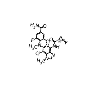 CN(c1nc(NC(=O)[C@H]2C[C@H]2F)c2ncn(C)c2c1Cl)c1c(F)cc(C(N)=O)cc1Cl